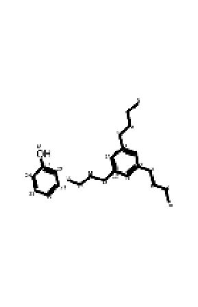 CCCCc1cc(CCCC)cc(CCCC)c1.Oc1ccccc1